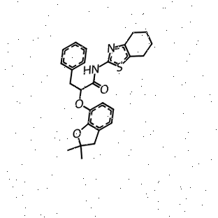 CC1(C)Cc2cccc(OC(Cc3ccccc3)C(=O)Nc3nc4c(s3)CCCC4)c2O1